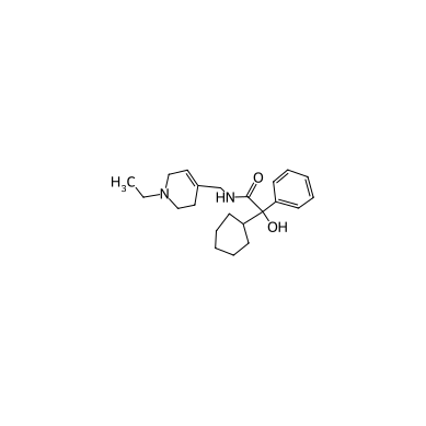 CCN1CC=C(CNC(=O)C(O)(c2ccccc2)C2CCCCC2)CC1